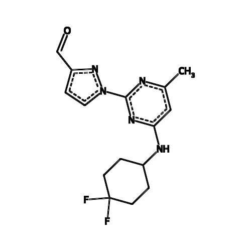 Cc1cc(NC2CCC(F)(F)CC2)nc(-n2ccc(C=O)n2)n1